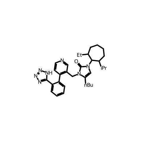 CCCCc1cn(C2C(CC)CCCCC2C(C)C)c(=O)n1Cc1cnccc1-c1ccccc1-c1nnn[nH]1